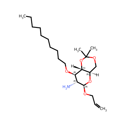 C=CCO[C@@H]1O[C@@H]2COC(C)(C)O[C@H]2[C@H](OCCCCCCCCCC)[C@H]1N